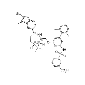 Cc1cccc(C)c1-c1cc(OC[C@@H]2N[C@H](c3cnc4cc(C(C)(C)C)n(C)c4n3)CC[C@@H]3[C@H]2C3(C)C)nc(NS(=O)(=O)c2cccc(C(=O)O)c2)n1